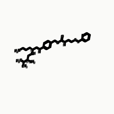 CC(C)[C@H](N)CN[C@@H](CCCN)CNc1ccc(COC(=O)NCCSSc2ccccn2)cc1